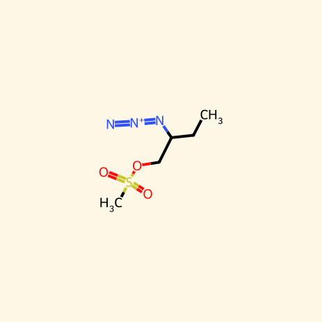 CCC(COS(C)(=O)=O)N=[N+]=[N-]